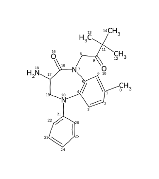 Cc1ccc2c(c1)N(CC(=O)C(C)(C)C)C(=O)C(N)CN2c1ccccc1